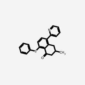 CC1CC(=O)c2c(Sc3ccccc3)ccc(-c3ccccn3)c2C1